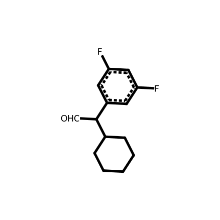 O=CC(c1cc(F)cc(F)c1)C1CCCCC1